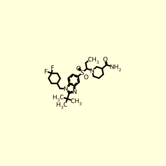 CCC(N1CCCC(C(N)=O)C1)S(=O)(=O)c1ccc2c(c1)nc(C(C)(C)C)n2CC1CCC(F)(F)CC1